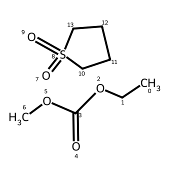 CCOC(=O)OC.O=S1(=O)CCCC1